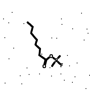 CCCCCCCC(=O)O[Si](C)(C)F